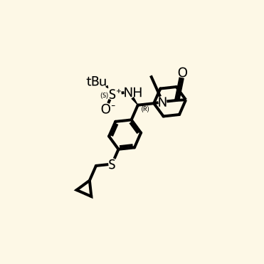 CN1C(=O)C2CCC1([C@H](N[S@+]([O-])C(C)(C)C)c1ccc(SCC3CC3)cc1)CC2